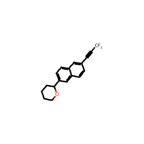 FC(F)(F)C#Cc1ccc2cc(C3CCCCO3)ccc2c1